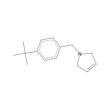 CC(C)(C)c1ccc(CN2CC=CC2)cc1